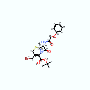 CC(C)(C)OC(=O)C1=C(CBr)CS[C@H]2[C@H](NC(=O)COc3ccccc3)C(=O)N12